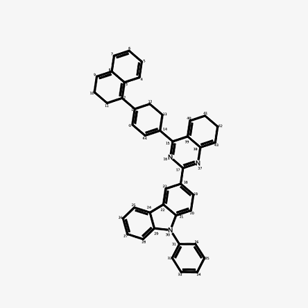 C1=C(C2=c3ccccc3=CCC2)CCC(c2nc(-c3ccc4c(c3)c3ccccc3n4-c3ccccc3)nc3c2=CCCC=3)=C1